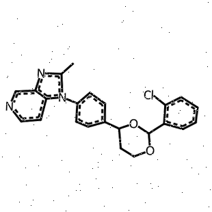 Cc1nc2cnccc2n1-c1ccc(C2CCOC(c3ccccc3Cl)O2)cc1